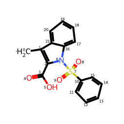 [CH2]c1c(C(=O)O)n(S(=O)(=O)c2ccccc2)c2ccccc12